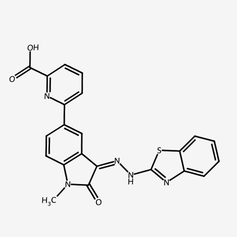 CN1C(=O)/C(=N\Nc2nc3ccccc3s2)c2cc(-c3cccc(C(=O)O)n3)ccc21